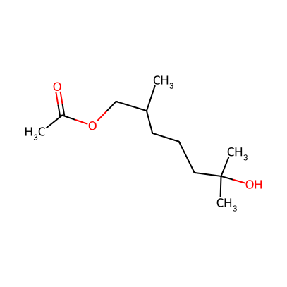 CC(=O)OCC(C)CCCC(C)(C)O